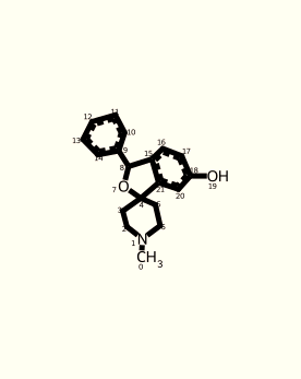 CN1CCC2(CC1)OC(c1ccccc1)c1ccc(O)cc12